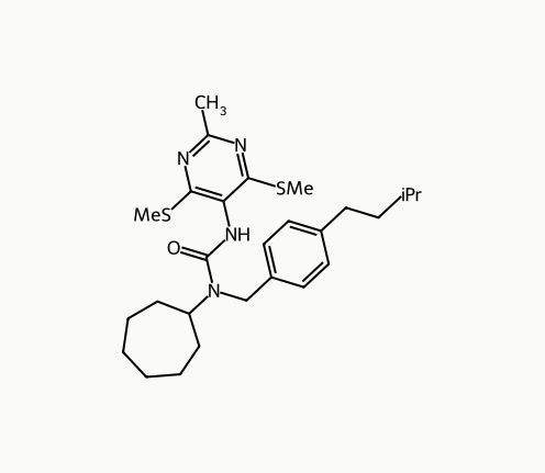 CSc1nc(C)nc(SC)c1NC(=O)N(Cc1ccc(CCC(C)C)cc1)C1CCCCCC1